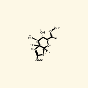 CCCO[C@@H](C)[C@H]1O[C@@H]2SC(NC)=N[C@@H]2[C@@H](O)[C@@H]1O